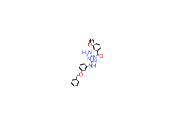 CC(C)Oc1cccc(C(=O)n2nc(Nc3cccc(OCc4ccccc4)c3)nc2N)c1